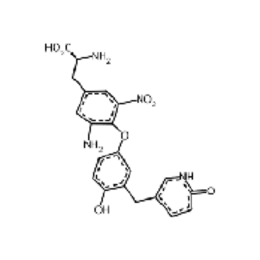 Nc1cc(C[C@H](N)C(=O)O)cc([N+](=O)[O-])c1Oc1ccc(O)c(Cc2ccc(=O)[nH]c2)c1